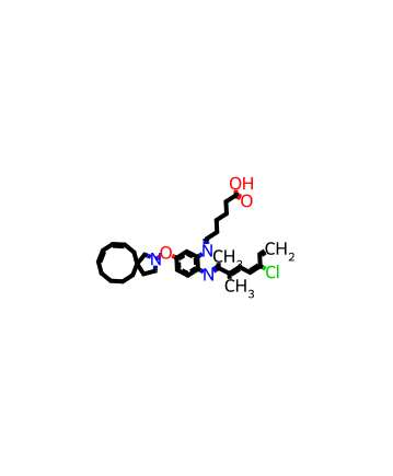 C=C\C(Cl)=C/C=C(C)/C(C)=N/c1ccc(ON2CCC3(C/C=C\C=C/CCCC3)C2)cc1/N=C/CCCCC(=O)O